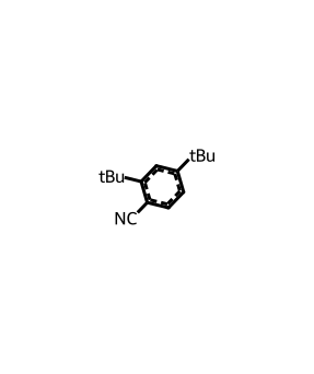 CC(C)(C)c1ccc(C#N)c(C(C)(C)C)c1